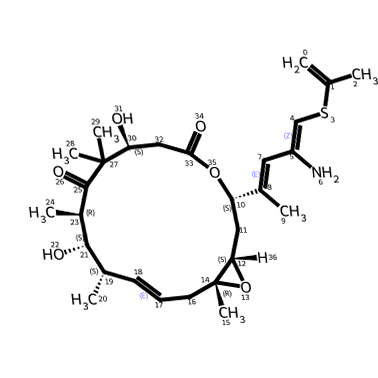 C=C(C)S/C=C(N)/C=C(\C)[C@@H]1C[C@@H]2O[C@]2(C)C/C=C/[C@H](C)[C@H](O)[C@@H](C)C(=O)C(C)(C)[C@@H](O)CC(=O)O1